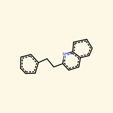 c1ccc(CCc2ccc3ccccc3n2)cc1